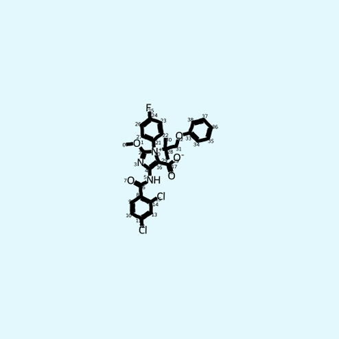 COC1=NC(NC(=O)c2ccc(Cl)cc2Cl)=C(C(=O)[O-])[N+]1(c1ccc(F)cc1)C(C)(C)COc1ccccc1